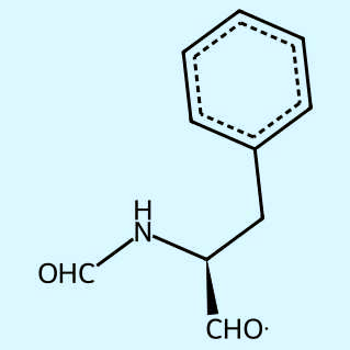 O=[C][C@H](Cc1ccccc1)NC=O